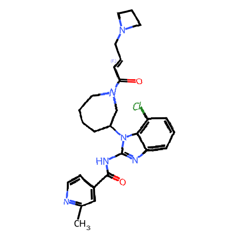 Cc1cc(C(=O)Nc2nc3cccc(Cl)c3n2C2CCCCN(C(=O)/C=C/CN3CCC3)C2)ccn1